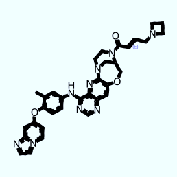 Cc1cc(Nc2ncnc3cc4c(nc23)N2CCN(C(=O)/C=C/CN3CCC3)C(CO4)C2)ccc1Oc1ccn2ccnc2c1